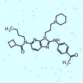 CCCCN(C(=O)C1CCC1)c1ccc2nc(Nc3ccc(C(C)=O)cc3)n(CCCN3CCCCC3)c2n1